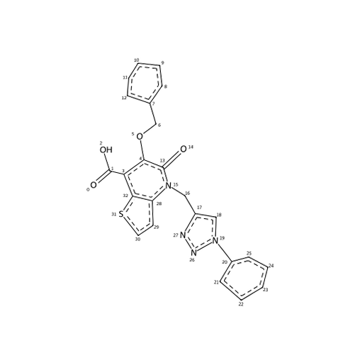 O=C(O)c1c(OCc2ccccc2)c(=O)n(Cc2cn(-c3ccccc3)nn2)c2ccsc12